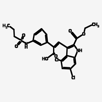 CCCS(=O)(=O)Nc1cccc(/C(=C/c2c(C(=O)OCC)[nH]c3cc(Cl)cc(Cl)c23)C(=O)O)c1